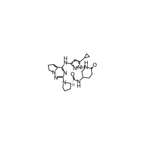 O=C1CCC(NC(=O)[C@@H]2CCCN2C2=NN3CCC=C3C(Nc3cc(C4CC4)[nH]n3)=N2)CN1